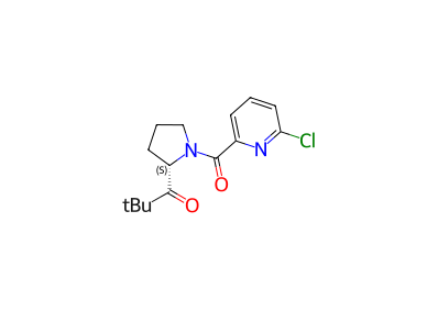 CC(C)(C)C(=O)[C@@H]1CCCN1C(=O)c1cccc(Cl)n1